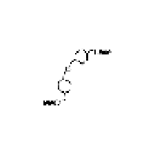 COCC1CCC(COCC2CCC(COC)CC2)CC1